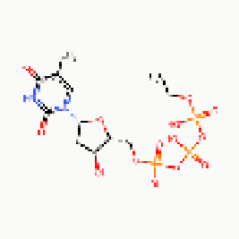 CCOP(=O)(O)OP(=O)(O)OP(=O)(O)OC[C@H]1O[C@@H](n2cc(C)c(=O)[nH]c2=O)C[C@@H]1O